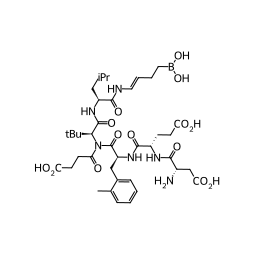 Cc1ccccc1C[C@H](NC(=O)[C@H](CCC(=O)O)NC(=O)[C@@H](N)CC(=O)O)C(=O)N(C(=O)CCC(=O)O)[C@H](C(=O)N[C@@H](CC(C)C)C(=O)NC=CCCB(O)O)C(C)(C)C